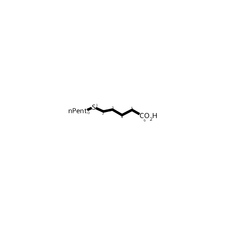 CCCCCSCCCCC(=O)O